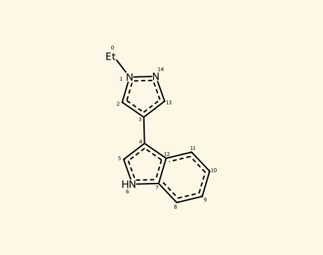 CCn1cc(-c2c[nH]c3ccccc23)cn1